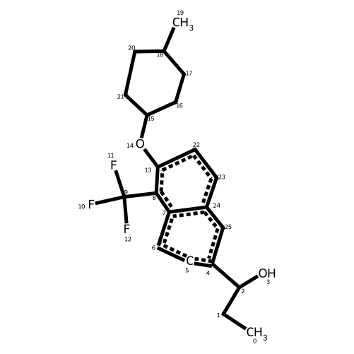 CCC(O)c1ccc2c(C(F)(F)F)c(OC3CCC(C)CC3)ccc2c1